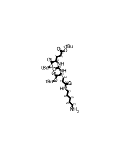 CC(C)(C)OC(=O)CCC(NC(=O)N[C@H](CCC(=O)NCCCCCN)C(=O)OC(C)(C)C)C(=O)OC(C)(C)C